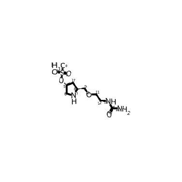 CS(=O)(=O)O[C@H]1CN[C@H](COCCNC(N)=O)C1